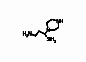 NCCC([SiH3])N1CCNCC1